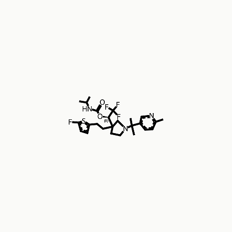 Cc1ccc(C(C)(C)N2CCC(CCc3ccc(F)s3)([C@@H](OC(=O)NC(C)C)C(F)(F)F)C2)cn1